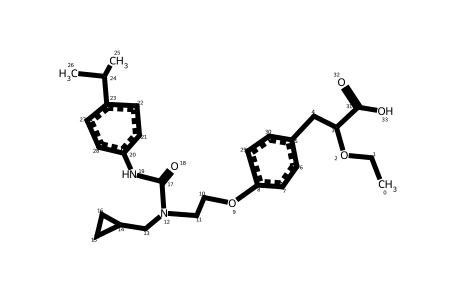 CCOC(Cc1ccc(OCCN(CC2CC2)C(=O)Nc2ccc(C(C)C)cc2)cc1)C(=O)O